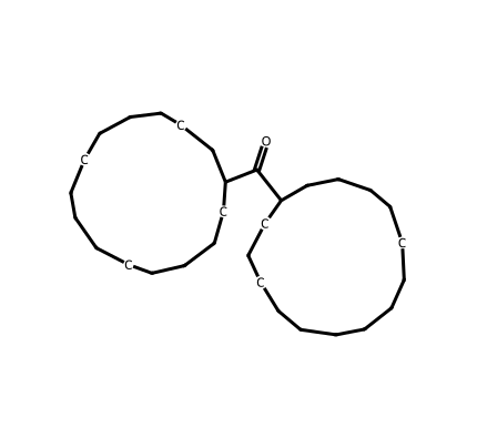 O=C(C1CCCCCCCCCCCCCC1)C1CCCCCCCCCCCCCC1